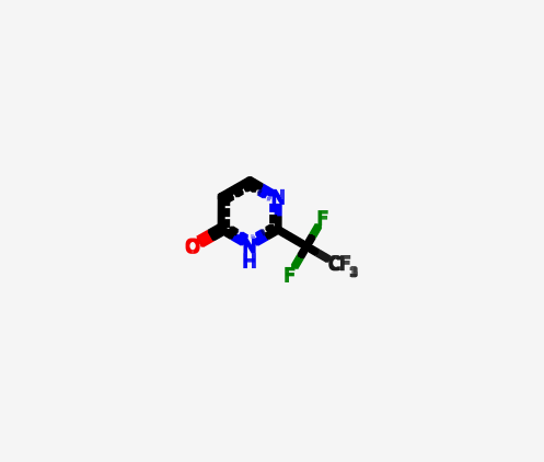 O=c1ccnc(C(F)(F)C(F)(F)F)[nH]1